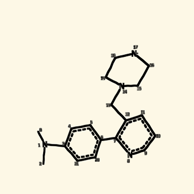 CN(C)c1ccc(-c2ncccc2CN2CC[N]CC2)cc1